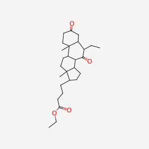 CCOC(=O)CCCC1CCC2C3C(=O)C(CC)C4CC(=O)CCC4(C)C3CCC12C